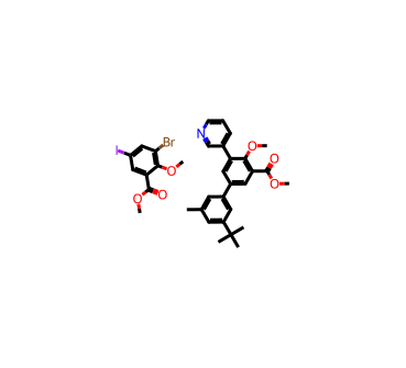 COC(=O)c1cc(-c2cc(C)cc(C(C)(C)C)c2)cc(-c2cccnc2)c1OC.COC(=O)c1cc(I)cc(Br)c1OC